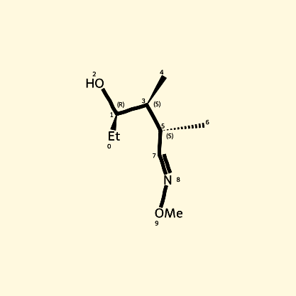 CC[C@@H](O)[C@@H](C)[C@H](C)C=NOC